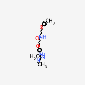 C=c1/c(=C\N=C/C)nnn1-c1ccc(OCCCC(=O)NCCCCOc2ccc(C)cc2)cc1